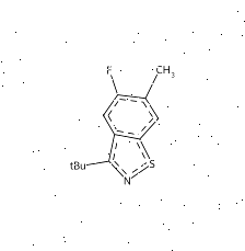 Cc1cc2snc(C(C)(C)C)c2cc1F